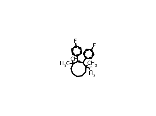 CC1(C)CCCCCC(C)(C)C(c2ccc(F)cc2)C1c1ccc(F)cc1